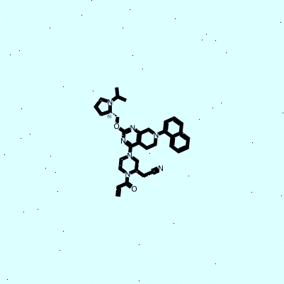 C=CC(=O)N1CCN(c2nc(OC[C@@H]3CCCN3C(C)C)nc3c2CCN(c2cccc4ccccc24)C3)CC1CC#N